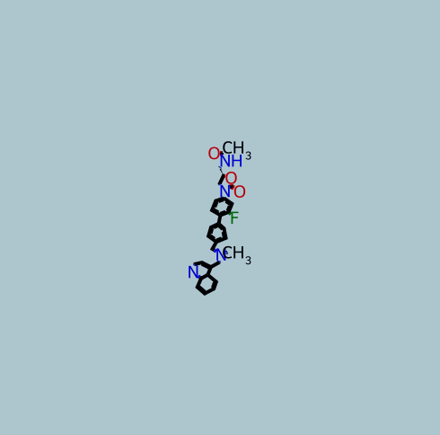 CC(=O)NC[C@H]1CN(c2ccc(-c3ccc(CN(C)CC4=CC=NC5C=CC=CC45)cc3)c(F)c2)C(=O)O1